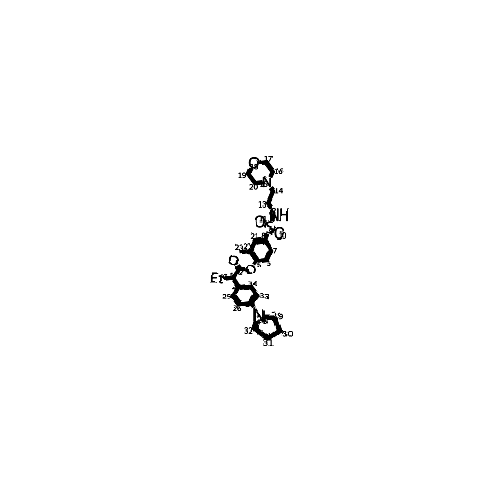 CCC(C(=O)Oc1ccc(S(=O)(=O)NCCN2CCOCC2)cc1C)c1ccc(N2CCCC2)cc1